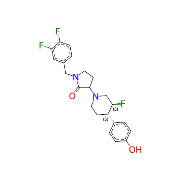 O=C1C(N2CC[C@@H](c3ccc(O)cc3)[C@H](F)C2)CCN1Cc1ccc(F)c(F)c1